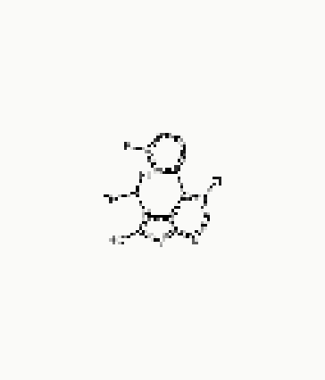 CCC(CC)n1c(O)nc2ncc(Cl)c(-c3cccc(F)c3)c21